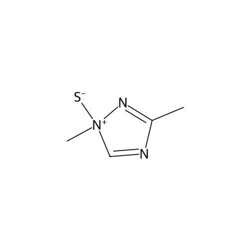 CC1=N[N+](C)([S-])C=N1